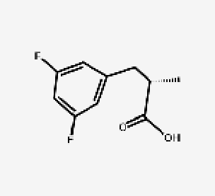 C[C@@H](Cc1cc(F)cc(F)c1)C(=O)O